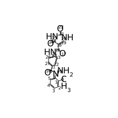 Cc1ccccc1N(N)C(=O)c1ccc(NC(=O)c2c[nH]c(=O)[nH]c2=O)cc1